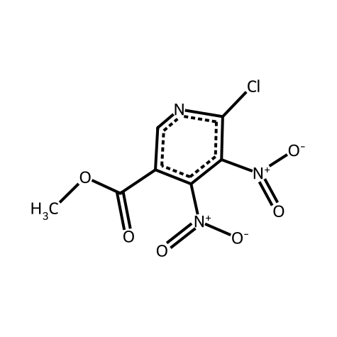 COC(=O)c1cnc(Cl)c([N+](=O)[O-])c1[N+](=O)[O-]